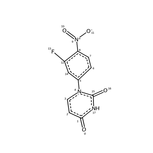 O=c1ccn(-c2ccc([N+](=O)[O-])c(F)c2)c(=O)[nH]1